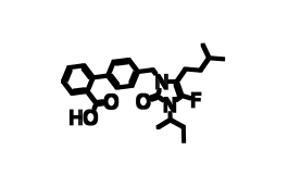 CCC(C)n1c(F)c(CCC(C)C)n(Cc2ccc(-c3ccccc3C(=O)O)cc2)c1=O